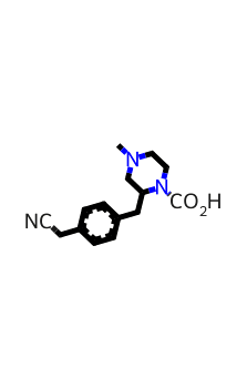 CN1CCN(C(=O)O)C(Cc2ccc(CC#N)cc2)C1